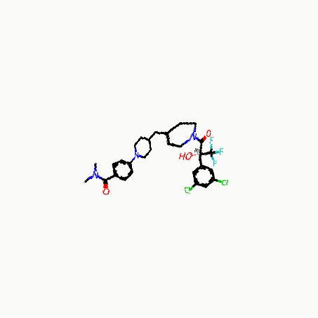 CN(C)C(=O)c1ccc(N2CCC(CC3CCN(C(=O)[C@](O)(c4cc(Cl)cc(Cl)c4)C(F)(F)F)CC3)CC2)cc1